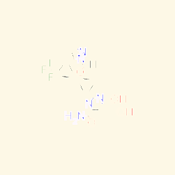 Cn1nccc1-c1cc(C(F)(F)F)ccc1Oc1ccc(-c2nc(C(N)=O)cc([C@H](O)CO)n2)cc1